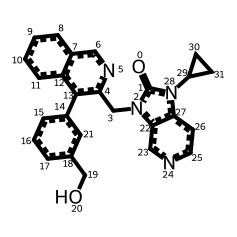 O=c1n(Cc2ncc3ccccc3c2-c2cccc(CO)c2)c2cnccc2n1C1CC1